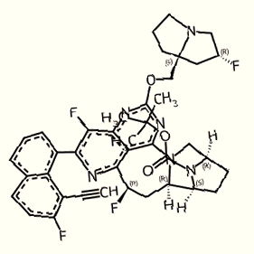 C#Cc1c(F)ccc2cccc(-c3nc4c5c(nc(OC[C@@]67CCCN6C[C@H](F)C7)nc5c3F)N3C[C@H]5CC[C@@H]([C@H]3C[C@H]4F)N5C(=O)OC(C)(C)C)c12